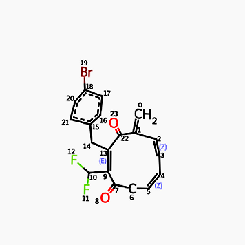 C=C1/C=C\C=C/CC(=O)/C(C(F)F)=C(/Cc2ccc(Br)cc2)C1=O